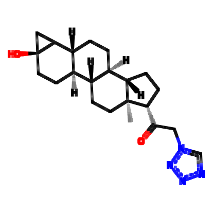 C[C@]12CC[C@@H]3[C@H]4CC[C@]5(O)CC5[C@@H]4CC[C@H]3[C@@H]1CC[C@@H]2C(=O)Cn1cnnn1